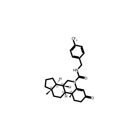 C[C@@]12CCC[C@H]1[C@@H]1CN(C(=O)NCc3ccc(C(F)(F)F)cc3)C3=CC(=O)CC[C@]3(C)[C@H]1CC2